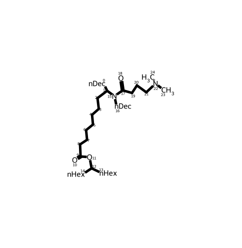 CCCCCCCCCCC(CCCCCCCC(=O)OC(CCCCCC)CCCCCC)N(CCCCCCCCCC)C(=O)CCCN(C)C